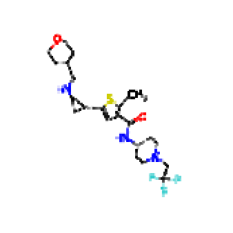 Cc1sc(C2CC2NCC2CCOCC2)cc1C(=O)NC1CCN(CC(F)(F)F)CC1